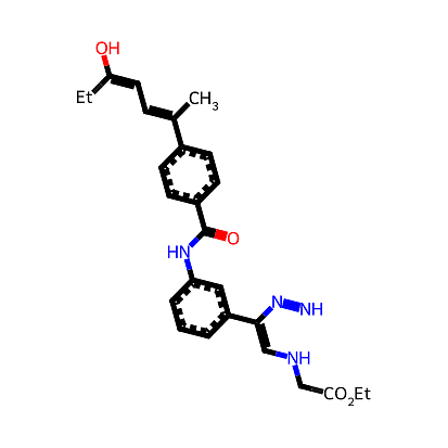 CCOC(=O)CN/C=C(\N=N)c1cccc(NC(=O)c2ccc(/C(C)=C/C=C(/O)CC)cc2)c1